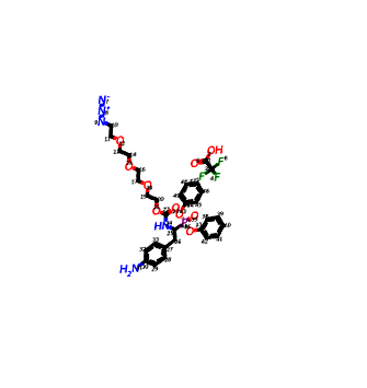 O=C(O)C(F)(F)F.[N-]=[N+]=NCCOCCOCCOCCOC(=O)NC(Cc1ccc(N)cc1)P(=O)(Oc1ccccc1)Oc1ccccc1